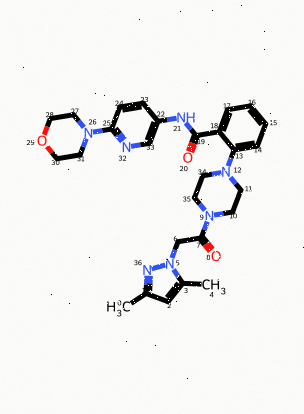 Cc1cc(C)n(CC(=O)N2CCN(c3ccccc3C(=O)Nc3ccc(N4CCOCC4)nc3)CC2)n1